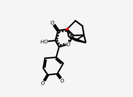 O=C1C=CC(c2oc(C34CCCC5C3C54)cc(=O)c2O)=CC1=O